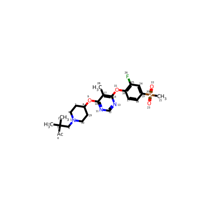 CC(=O)C(C)(C)CN1CCC(Oc2ncnc(Oc3ccc(S(C)(=O)=O)cc3F)c2C)CC1